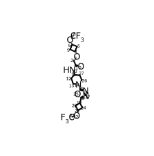 O=C(CO[C@H]1C[C@H](OC(F)(F)F)C1)NC1CCN(c2nnc(C3CC(OC(F)(F)F)C3)o2)CC1